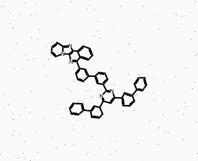 C1=CC(c2ccccc2)=CC(c2cc(-c3cccc(-c4ccccc4)c3)nc(-c3cccc(-c4cccc(-c5nc6c(nc7ccccn76)c6ccccc56)c4)c3)n2)C1